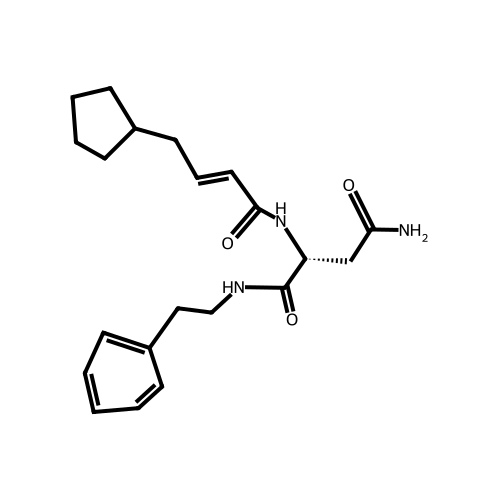 NC(=O)C[C@@H](NC(=O)/C=C/CC1CCCC1)C(=O)NCCc1ccccc1